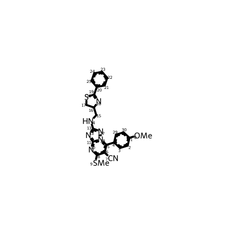 COc1ccc(-c2c(C#N)c(SC)nc3nc(NCC4CSC(c5ccccc5)=N4)nn23)cc1